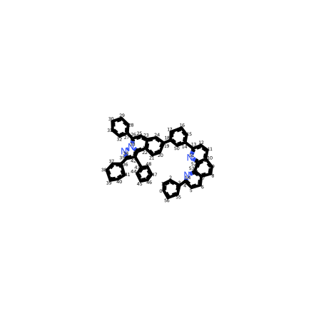 c1ccc(-c2ccc3ccc4ccc(-c5cccc(-c6ccc7c(c6)cc(-c6ccccc6)n6nc(-c8ccccc8)c(-c8ccccc8)c76)c5)nc4c3n2)cc1